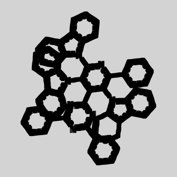 C1=Cc2c(c3ccccc3n2-c2c(-c3ccccc3)nc(-n3c4ccccc4c4ccccc43)c(-n3c4ccccc4c4ccccc43)c2-c2nc(-c3ccccc3)nc(-c3ccccc3)n2)CC1